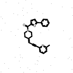 Cc1cccc(C#CC=C2CCN(C(=O)c3ccc(-c4ccccc4)o3)CC2)n1